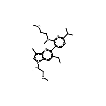 CCc1cc2c(nc1-c1ccc(C(C)C)nc1N(C)CCOC)c(C)cn2[C@@H](C)COC